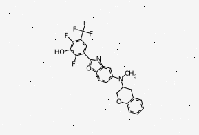 CN(c1ccc2oc(-c3cc(C(F)(F)F)c(F)c(O)c3F)nc2c1)C1COc2ccccc2C1